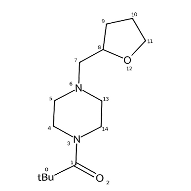 CC(C)(C)C(=O)N1CCN(CC2CCCO2)CC1